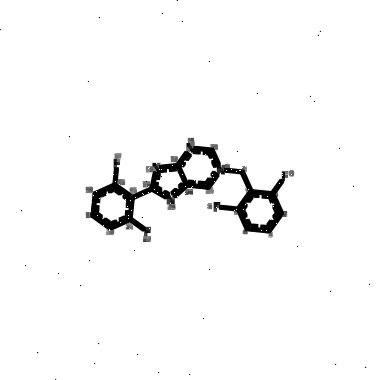 Fc1cccc(F)c1Cn1cnc2nc(-c3c(F)cccc3F)nc-2c1